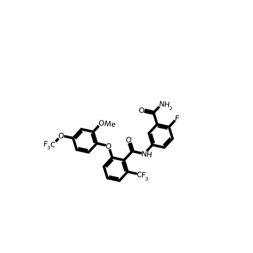 COc1cc(OC(F)(F)F)ccc1Oc1cccc(C(F)(F)F)c1C(=O)Nc1ccc(F)c(C(N)=O)c1